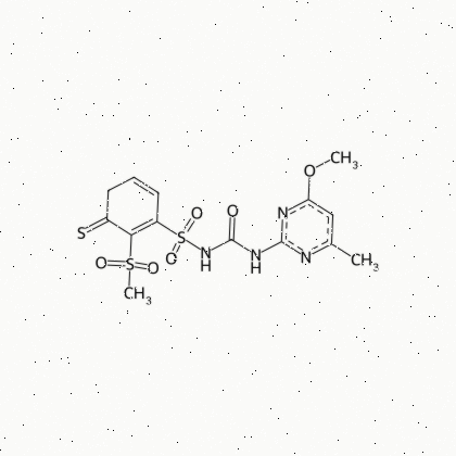 COc1cc(C)nc(NC(=O)NS(=O)(=O)C2=C(S(C)(=O)=O)C(=S)CC=C2)n1